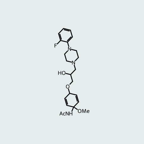 COC1(NC(C)=O)C=CC(OCC(O)CN2CCN(c3ccccc3F)CC2)C=C1